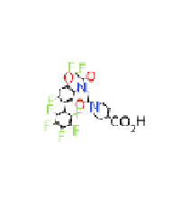 O=C(O)C1CCN(C(=O)CN2C(=O)C(F)(F)Oc3cc(F)c(-c4c(F)c(F)c(F)c(F)c4F)cc32)CC1